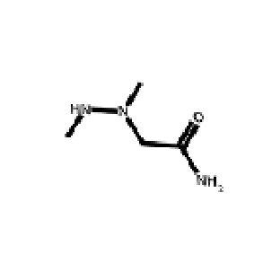 CNN(C)CC(N)=O